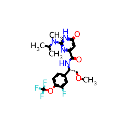 COC[C@@H](NC(=O)c1cc(=O)[nH]c(N(C)C(C)C)n1)c1ccc(OC(F)(F)F)c(F)c1